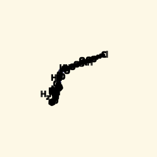 Nc1ncnc2c1c(-c1ccc(Oc3ccccc3)cc1)nn2[C@@H]1CCCN(C(=O)/C=C/CNC(=O)OC/C=C\COC(=O)NCCOCCOCCOC(=O)NCCOCCOCCCCCCCl)C1